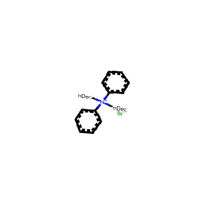 CCCCCCCCCC[N+](CCCCCCCCCC)(c1ccccc1)c1ccccc1.[Br-]